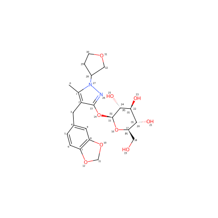 Cc1c(Cc2ccc3c(c2)OCO3)c(O[C@@H]2O[C@H](CO)[C@@H](O)[C@H](O)[C@H]2O)nn1C1CCOC1